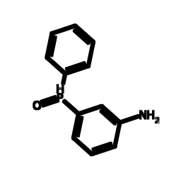 Nc1cccc([PH](=O)c2ccccc2)c1